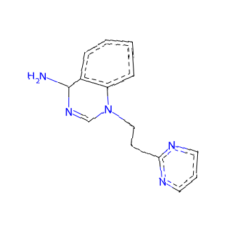 NC1N=CN(CCc2ncccn2)c2ccccc21